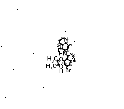 C[C@@H](O)[C@@H](C)Oc1cc(Br)cc2ncnc(Nc3ccc4ncccc4c3F)c12